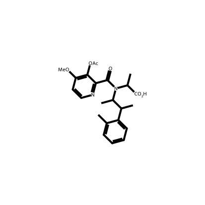 COc1ccnc(C(=O)N(C(C)C(=O)O)C(C)C(C)c2ccccc2C)c1OC(C)=O